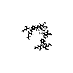 CCCCC(CC)CN(CC(CC)CCCC)C(=O)c1cccc(/N=N/C2=C(O)N(CCn3c(O)c(/N=N/c4cccc(C(=O)N(CC(CC)CCCC)CC(CC)CCCC)c4)c(C)c(C#N)c3=O)C(O)C(C#N)=C2C)c1